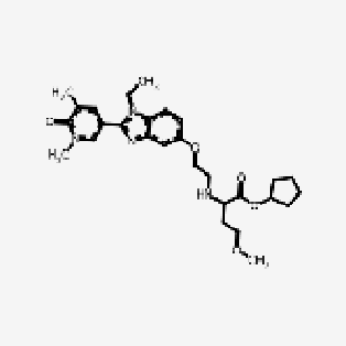 CCn1c(-c2cc(C)c(=O)n(C)c2)nc2cc(OCCNC(CCOC)C(=O)OC3CCCC3)ccc21